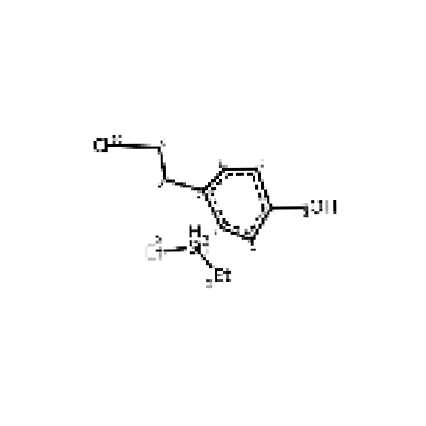 CC[SiH2]CC.Oc1ccc(CCCl)cc1